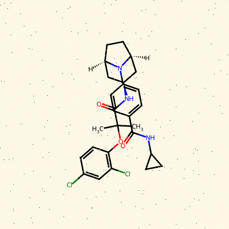 CC(C)(Oc1ccc(Cl)cc1Cl)C(=O)N[C@H]1C[C@H]2CC[C@@H](C1)N2c1ccc(C(=O)NC2CC2)cc1